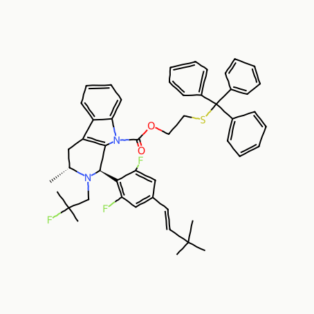 C[C@@H]1Cc2c(n(C(=O)OCCSC(c3ccccc3)(c3ccccc3)c3ccccc3)c3ccccc23)[C@@H](c2c(F)cc(/C=C/C(C)(C)C)cc2F)N1CC(C)(C)F